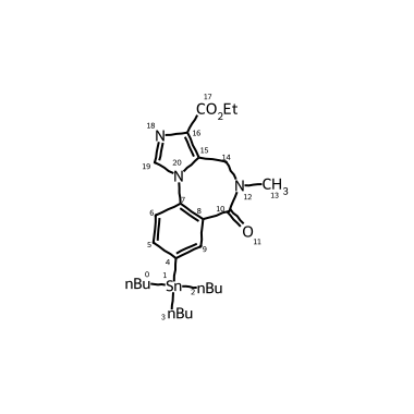 CCC[CH2][Sn]([CH2]CCC)([CH2]CCC)[c]1ccc2c(c1)C(=O)N(C)Cc1c(C(=O)OCC)ncn1-2